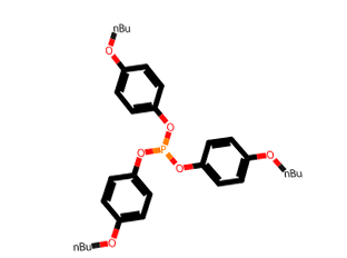 CCCCOc1ccc(OP(Oc2ccc(OCCCC)cc2)Oc2ccc(OCCCC)cc2)cc1